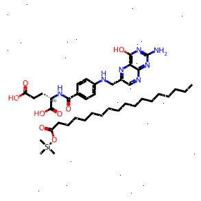 CCCCCCCCCCCCCCCCCC(=O)O[Si](C)(C)C.Nc1nc(O)c2nc(CNc3ccc(C(=O)N[C@@H](CCC(=O)O)C(=O)O)cc3)cnc2n1